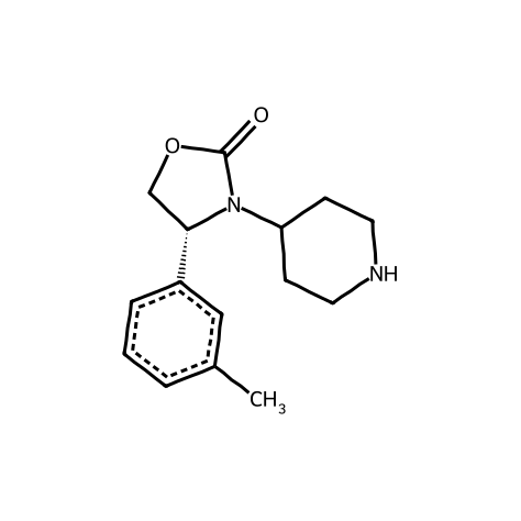 Cc1cccc([C@@H]2COC(=O)N2C2CCNCC2)c1